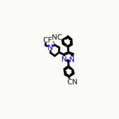 N#Cc1ccc(-c2ncc(-c3cccc(C#N)c3)c(C3CCN(CC(F)(F)F)CC3)n2)cc1